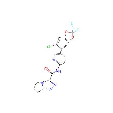 O=C(Nc1ccc(-c2cc3c(cc2Cl)OC(F)(F)O3)cn1)c1nnc2n1CCC2